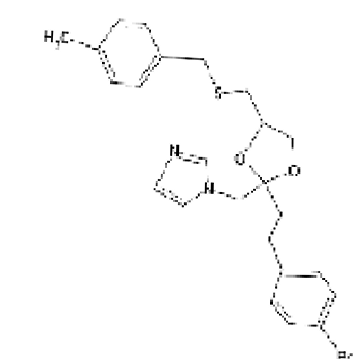 Cc1ccc(CSCC2COC(CCc3ccc(Br)cc3)(Cn3ccnc3)O2)cc1